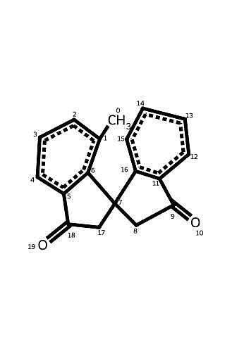 Cc1cccc2c1C1(CC(=O)c3ccccc31)CC2=O